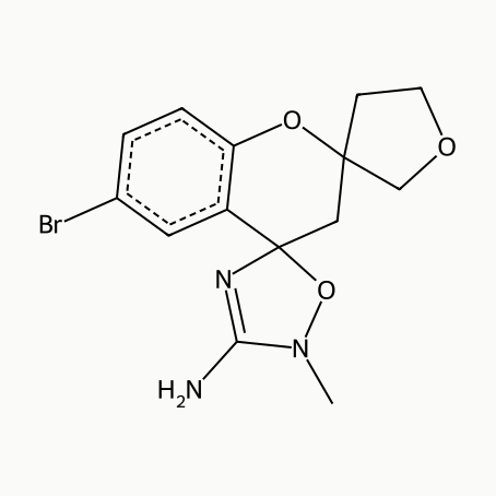 CN1OC2(CC3(CCOC3)Oc3ccc(Br)cc32)N=C1N